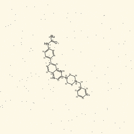 CCC(C)C(=O)Nc1ccc(-c2ccc3ncc(N4CCN(Cc5cccnc5)CC4)nc3c2)cc1